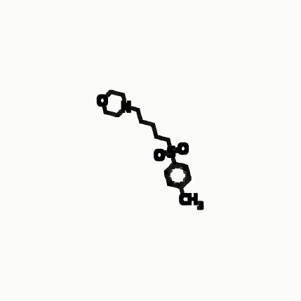 Cc1ccc(S(=O)(=O)CCCCCN2CCOCC2)cc1